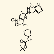 COc1ncccc1CNc1ncc([N+](=O)[O-])c(NC[C@H]2CC[C@H](NC(=O)OC(C)(C)C)CC2)n1